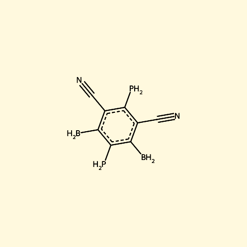 Bc1c(P)c(B)c(C#N)c(P)c1C#N